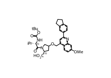 COc1ccc2c(COC3C[C@@H](C(=O)O)N(C(=O)[C@@H](NC(=O)OC(C)(C)C)C(C)C)C3)cc(-c3ccc4c(c3)CCC4)nc2c1